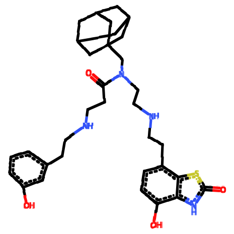 O=C(CCNCCc1cccc(O)c1)N(CCNCCc1ccc(O)c2[nH]c(=O)sc12)CC12CC3CC(CC(C3)C1)C2